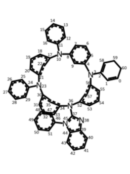 C1=CC(N2c3cccc(c3)N(c3ccccc3)c3cccc(c3)N(c3ccccc3)c3cccc(c3)N(c3nc4ccccc4n3-c3ccccc3)c3cccc2c3)=CCC1